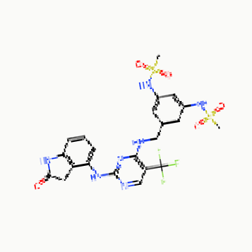 CS(=O)(=O)Nc1cc(CNc2nc(Nc3cccc4c3CC(=O)N4)ncc2C(F)(F)F)cc(NS(C)(=O)=O)c1